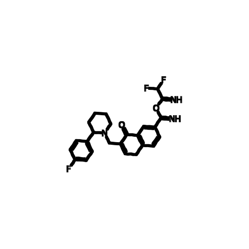 N=C(OC(=N)C(F)F)c1ccc2c(c1)C(=O)C(CN1CCCCC1c1ccc(F)cc1)=CC2